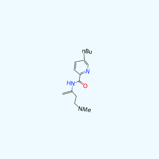 C=C(CCNC)NC(=O)c1ccc(CCCC)cn1